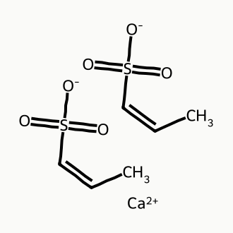 C/C=C\S(=O)(=O)[O-].C/C=C\S(=O)(=O)[O-].[Ca+2]